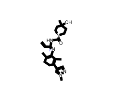 C=C/C(=N\C1=C(C)CCC(c2cnn(C)c2)=C1C)NC(=O)N1CCC(C)(O)CC1